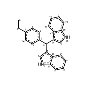 CCc1ccc(C(c2c[nH]c3ccccc23)c2c[nH]c3ccccc23)cc1